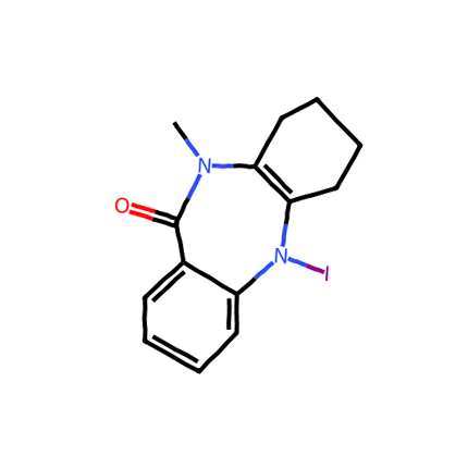 CN1C(=O)c2ccccc2N(I)C2=C1CCCC2